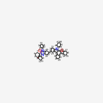 O=P1(c2ccccc2)N(c2ccccc2)c2ccc(-c3ccc4c(c3)c3c5ccccc5c5c6ccccc6oc5c3n4-c3ccccc3)cc2N1c1ccccc1